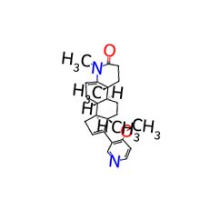 COc1ccncc1C1=CC[C@H]2[C@@H]3CC=C4N(C)C(=O)CC[C@]4(C)[C@H]3CC[C@]12C